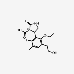 CCOc1c(CCO)cc(Cl)c(F)c1C1CNC(=O)[C@@H]1C(=O)O